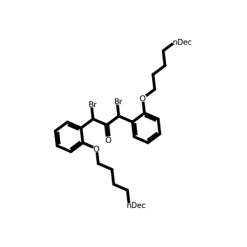 CCCCCCCCCCCCCCOc1ccccc1C(Br)C(=O)C(Br)c1ccccc1OCCCCCCCCCCCCCC